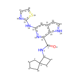 O=C(NC1CCC12CCCC2)c1nc(Nc2nccs2)cc2cc[nH]c12